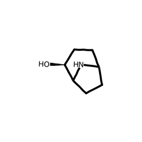 O[C@H]1CCC2CCC1N2